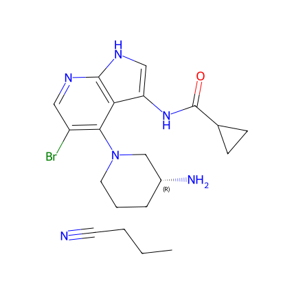 CCCC#N.N[C@@H]1CCCN(c2c(Br)cnc3[nH]cc(NC(=O)C4CC4)c23)C1